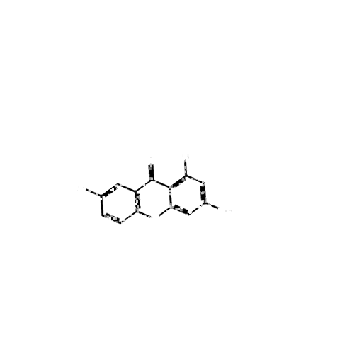 O=c1c2cc(Br)ccc2oc2cc(O)cc(O)c12